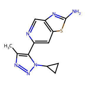 Cc1nnn(C2CC2)c1-c1cc2sc(N)nc2cn1